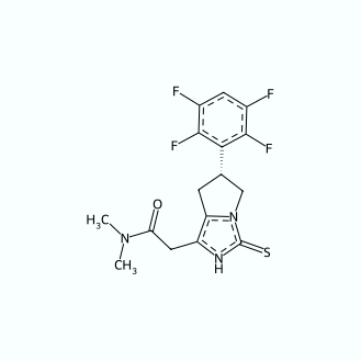 CN(C)C(=O)Cc1[nH]c(=S)n2c1C[C@H](c1c(F)c(F)cc(F)c1F)C2